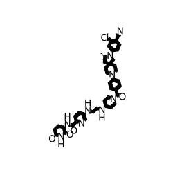 C[C@H]1CC2(CCN(c3ccc(C(=O)N4CCC(NCCNc5ccc(C(=O)NC6CCC(=O)NC6=O)nc5)CC4)cc3)CC2)CN1c1ccc(C#N)c(Cl)c1